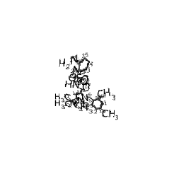 Cc1cc(C)c(Cn2nc(C(C)(C)C)cc2C(=O)NS(=O)(=O)c2cccc(N)n2)c(C)c1